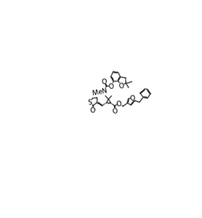 CC1(C)[C@H](/C=C2\CCSC2=O)[C@@H]1C(=O)OCc1coc(Cc2ccccc2)c1.CNC(=O)Oc1cccc2c1OC(C)(C)C2